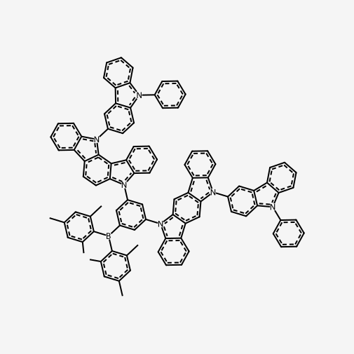 Cc1cc(C)c(B(c2cc(-n3c4ccccc4c4cc5c(cc43)c3ccccc3n5-c3ccc4c(c3)c3ccccc3n4-c3ccccc3)cc(-n3c4ccccc4c4c3ccc3c5ccccc5n(-c5ccc6c(c5)c5ccccc5n6-c5ccccc5)c34)c2)c2c(C)cc(C)cc2C)c(C)c1